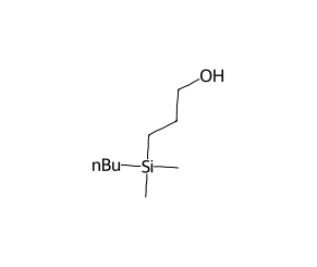 CCCC[Si](C)(C)CCCO